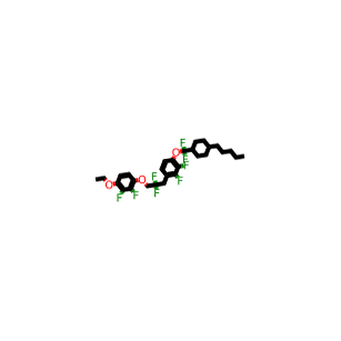 CCCCCC1CCC(C(F)(F)Oc2ccc(CC(F)(F)COc3ccc(OCC)c(F)c3F)c(F)c2F)CC1